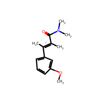 COc1cccc(/C(C)=C(\C)C(=O)N(C)C)c1